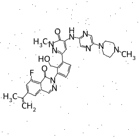 C=C(C)c1cc(F)c2c(=O)n(-c3cccc(-c4cc(Nc5cnc(N6CCN(C)CC6)cn5)c(=O)n(C)n4)c3CO)ncc2c1